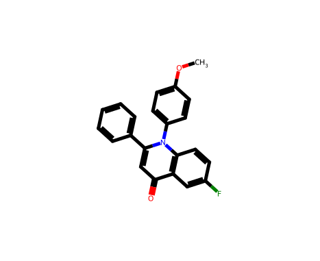 COc1ccc(-n2c(-c3ccccc3)cc(=O)c3cc(F)ccc32)cc1